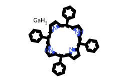 C1=Cc2nc1c(-c1ccccc1)c1ccc([nH]1)c(-c1ccccc1)c1nc(c(-c3ccccc3)c3ccc([nH]3)c2-c2ccccc2)C=C1.[GaH3]